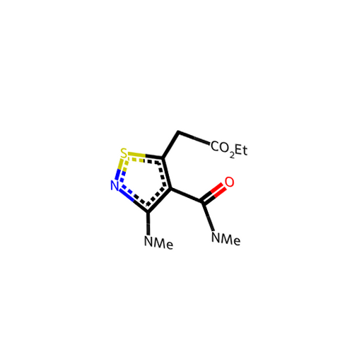 CCOC(=O)Cc1snc(NC)c1C(=O)NC